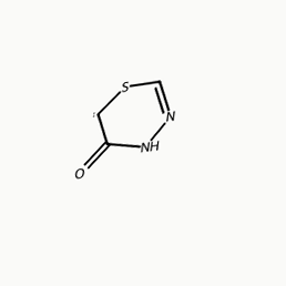 O=C1[C]SC=NN1